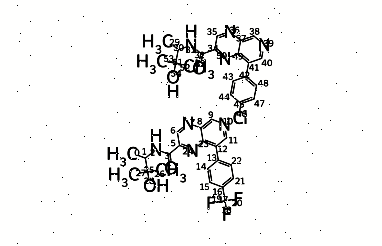 CC(NC(=O)c1cnc2cncc(-c3ccc(C(F)(F)F)cc3)c2n1)C(C)(C)O.CC(NC(=O)c1cnc2cncc(-c3ccc(Cl)cc3)c2n1)C(C)(C)O